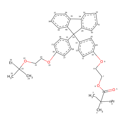 CCCC(C)(C)C(=O)OCCOc1ccc(C2(c3ccc(OCCOC(C)(C)CC)cc3)c3ccccc3-c3ccccc32)cc1